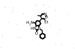 CCC1=C(c2cc(N)c3[nH]c(=O)n(Cc4ccccc4)c3c2)C(C)=C=NO1